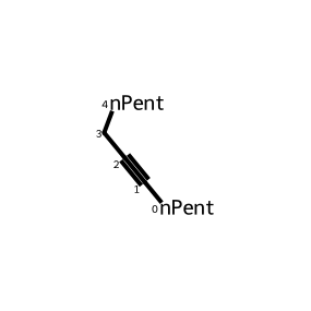 CCCCCC#CCCCCCC